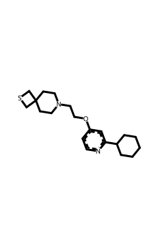 c1cc(OCCN2CCC3(CC2)CSC3)cc(C2CCCCC2)n1